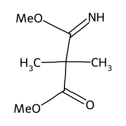 COC(=N)C(C)(C)C(=O)OC